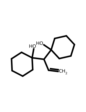 C=CC(C1(O)CCCCC1)C1(O)CCCCC1